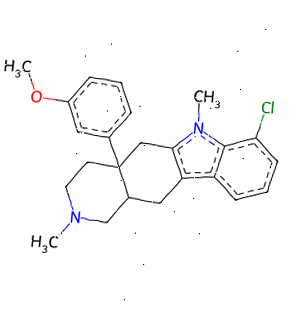 COc1cccc(C23CCN(C)CC2Cc2c(n(C)c4c(Cl)cccc24)C3)c1